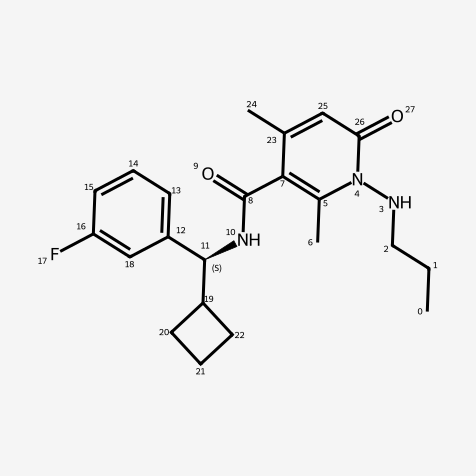 CCCNn1c(C)c(C(=O)N[C@H](c2cccc(F)c2)C2CCC2)c(C)cc1=O